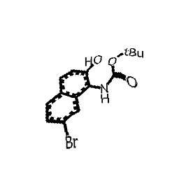 CC(C)(C)OC(=O)Nc1c(O)ccc2ccc(Br)cc12